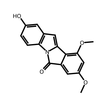 COc1cc(OC)c2c(c1)C(=O)n1c-2cc2cc(O)ccc21